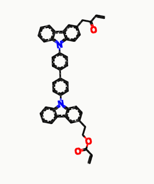 C=CC(=O)Cc1ccc2c(c1)c1ccccc1n2-c1ccc(-c2ccc(-n3c4ccccc4c4cc(CCOC(=O)C=C)ccc43)cc2)cc1